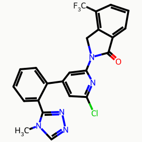 Cn1cnnc1-c1ccccc1-c1cc(Cl)nc(N2Cc3c(cccc3C(F)(F)F)C2=O)c1